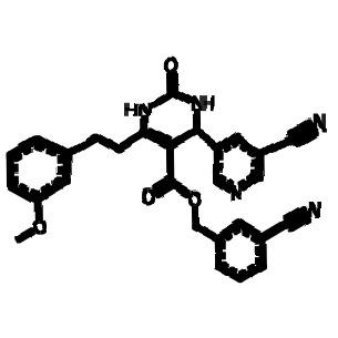 COc1cccc(CCC2=C(C(=O)OCc3cccc(C#N)c3)C(c3cncc(C#N)c3)NC(=O)N2)c1